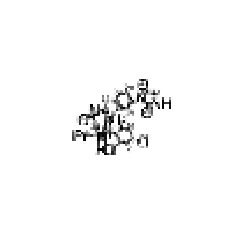 CC(C)c1[nH]n(-c2c(Cl)cc(Cl)cc2Cl)c2nc(Cc3ccc(N4C(=O)CNC4=O)cc3)nc(=O)c1-2